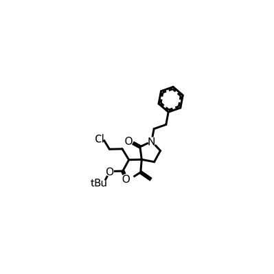 C=C(C)C1(C(CCCl)C(=O)OC(C)(C)C)CCN(CCc2ccccc2)C1=O